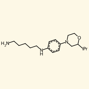 CC(C)C1CN(c2ccc(NCCCCCN)cc2)CCO1